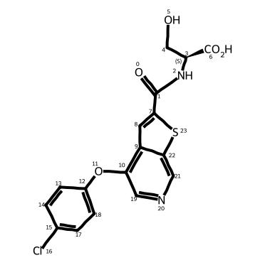 O=C(N[C@@H](CO)C(=O)O)c1cc2c(Oc3ccc(Cl)cc3)cncc2s1